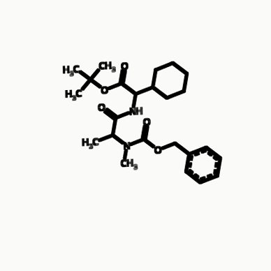 CC(C(=O)NC(C(=O)OC(C)(C)C)C1CCCCC1)N(C)C(=O)OCc1ccccc1